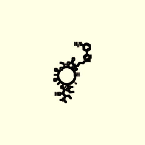 CCO[C@@H](O[C@@H]1[C@@H](C)C(=O)[C@@H](C)C(=O)O[C@H](CC)[C@@]2(C)OC(=O)N(CCCn3cc(-c4cccc(N)c4)nn3)[C@@H]2[C@@H](C)NC[C@H](C)C[C@@]1(C)OC)C(O)C(CC)N(C)C